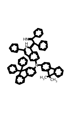 CC1(C)c2ccccc2-c2ccc(N(c3ccc4c(c3)C=C(c3ccccc3)N/C4=C(\C(=N)c3ccccc3)c3ccccc3)c3ccc4c(c3)C(c3ccccc3)(c3ccccc3)c3ccccc3-4)cc21